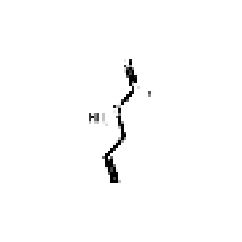 C=CCO[PH2]=O.N